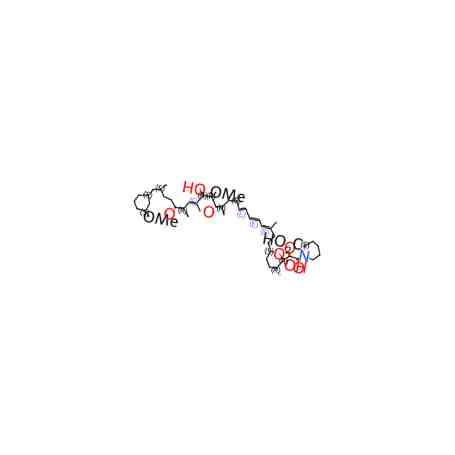 CO[C@H]1CCC[C@@H](C[C@@H](C)CCC(=O)[C@H](C)/C=C(\C)[C@@H](O)[C@@H](OC)C(=O)[C@H](C)C[C@H](C)/C=C/C=C/C=C(\C)CC[C@@H]2CC[C@@H](C)[C@](O)(C(=O)C(=O)N3CCCC[C@H]3C(=O)O)O2)C1